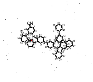 N#Cc1ccc(-n2c3ccccc3c3cc(-c4ccc(-n5c6ccccc6c6ccccc65)c(-c5nc(-c6ccccc6)cc(-c6ccccc6)n5)c4)ccc32)c(-c2c(F)cccc2F)c1